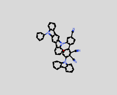 N#Cc1ccc(-c2ccc(-n3c4ccccc4c4ccccc43)c(C#N)c2C#N)c(-n2c3ccccc3c3cc4c(cc32)c2ccccc2n4-c2ccccc2)c1